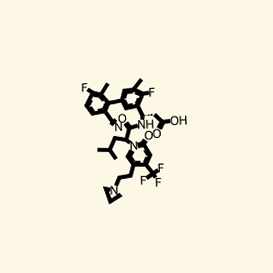 Cc1cc(-c2c(C#N)ccc(F)c2C)cc([C@H](CC(=O)O)NC(=O)C(CC(C)C)n2cc(CCN3CCC3)c(C(F)(F)F)cc2=O)c1F